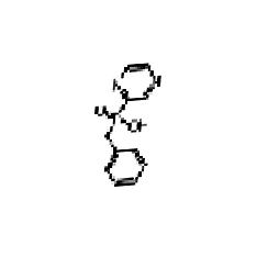 O=P(O)(Cc1ccccc1)c1cnccn1